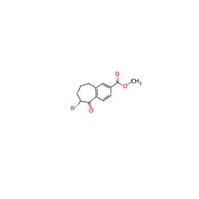 COC(=O)c1ccc2c(c1)CCCC(Br)C2=O